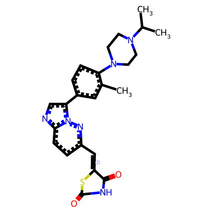 Cc1cc(-c2cnc3ccc(/C=C4\SC(=O)NC4=O)nn23)ccc1N1CCN(C(C)C)CC1